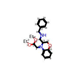 CCOC(CN1c2ccccc2OCC1CNCc1ccccc1)OCC